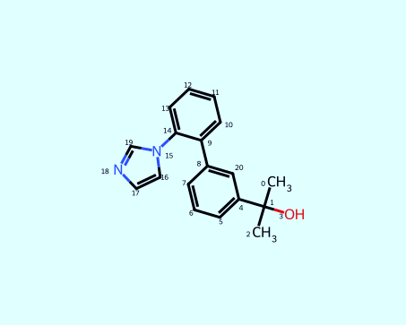 CC(C)(O)c1cccc(-c2ccccc2-n2ccnc2)c1